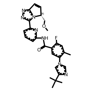 COC[C@H]1C=Cc2nnc(-c3cccc(NC(=O)c4cc(-n5cnc(C(C)(C)C)c5)c(C)cc4F)n3)n21